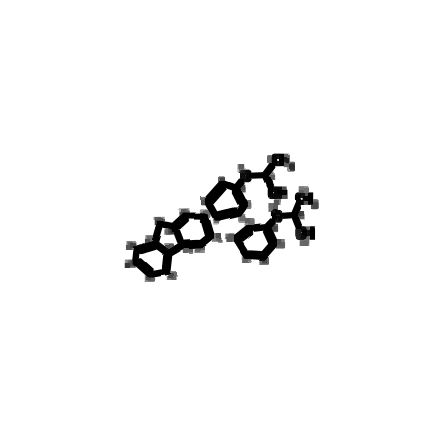 CC(O)Oc1ccccc1.CC(O)Oc1ccccc1.c1ccc2c(c1)Cc1ccccc1-2